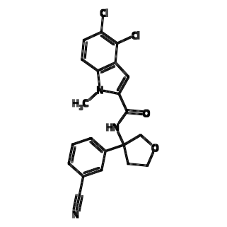 Cn1c(C(=O)NC2(c3cccc(C#N)c3)CCOC2)cc2c(Cl)c(Cl)ccc21